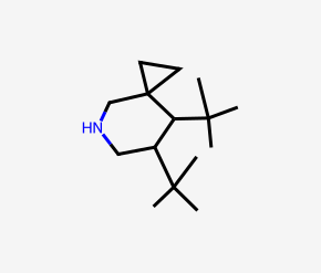 CC(C)(C)C1CNCC2(CC2)C1C(C)(C)C